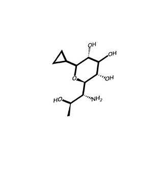 C[C@@H](O)[C@@H](N)[C@H]1OC(C2CC2)[C@H](O)C(O)[C@@H]1O